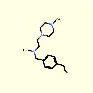 CCc1ccc(CN(C)CCN2CCN(C)CC2)cc1